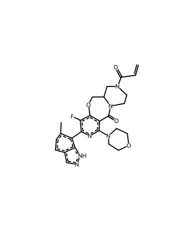 C=CC(=O)N1CCN2C(=O)c3c(N4CCOCC4)nc(-c4c(C)ccc5cn[nH]c45)c(F)c3OCC2C1